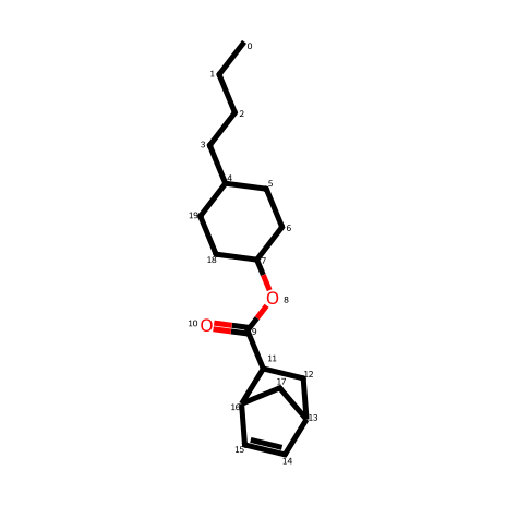 CCCCC1CCC(OC(=O)C2CC3C=CC2C3)CC1